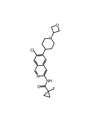 O=C(Nc1cc2cc(C3CCN(C4COC4)CC3)c(Cl)cc2cn1)C1(F)CC1